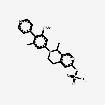 COc1cc(N2CCc3cc(OS(=O)(=O)C(F)(F)F)ncc3C2C)cc(F)c1-c1ccncc1